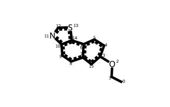 CCOc1ccc2c(ccc3ncsc32)c1